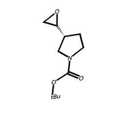 CC(C)(C)OC(=O)N1CC[C@@H](C2CO2)C1